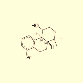 CC(C)c1cccc2c1CC[C@H]1C(C)(C)CCC(O)[C@]21C